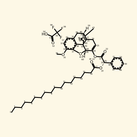 CCCCCCCCCCCCCCCCCC(=O)O[C@H](C(=O)OC1=CC[C@@]2(O)[C@H]3Cc4ccc(OC)c5c4[C@@]2(CCN3C)[C@H]1O5)c1ccccc1.O=C(O)C(F)(F)F